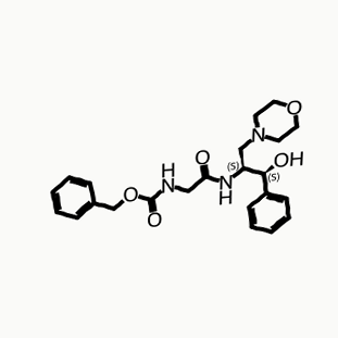 O=C(CNC(=O)OCc1ccccc1)N[C@@H](CN1CCOCC1)[C@@H](O)c1ccccc1